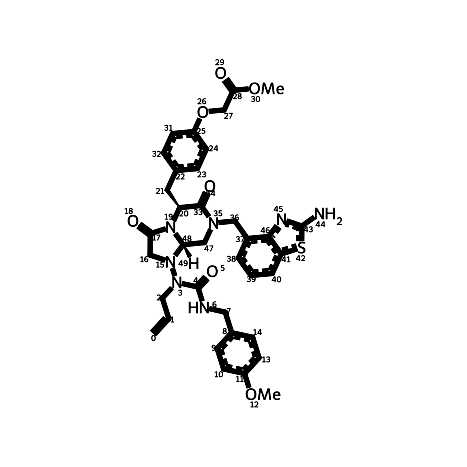 C=CCN(C(=O)NCc1ccc(OC)cc1)N1CC(=O)N2[C@@H](Cc3ccc(OCC(=O)OC)cc3)C(=O)N(Cc3cccc4sc(N)nc34)C[C@@H]21